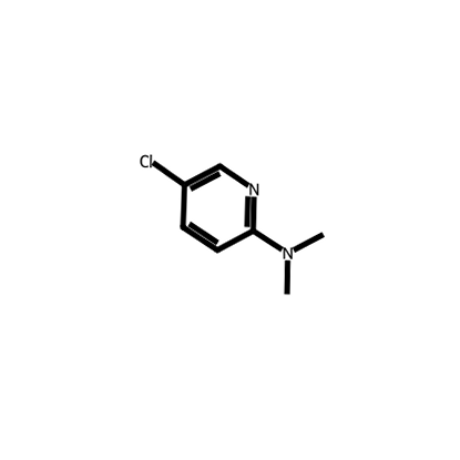 CN(C)c1ccc(Cl)cn1